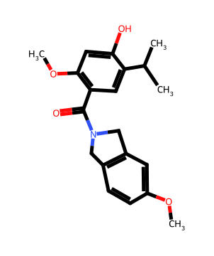 COc1ccc2c(c1)CN(C(=O)c1cc(C(C)C)c(O)cc1OC)C2